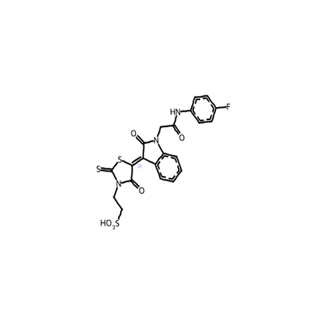 O=C(CN1C(=O)/C(=C2\SC(=S)N(CCS(=O)(=O)O)C2=O)c2ccccc21)Nc1ccc(F)cc1